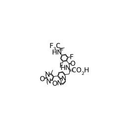 Cc1c(-c2ccc(C[C@H](NC(=O)c3c(F)cc(N[C@H](C)C(F)(F)F)cc3F)C(=O)O)n3ccnc23)c(=O)n(C)c(=O)n1C